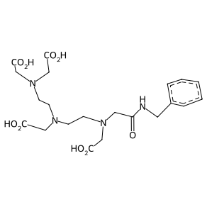 O=C(O)CN(CCN(CC(=O)O)CC(=O)O)CCN(CC(=O)O)CC(=O)NCc1ccccc1